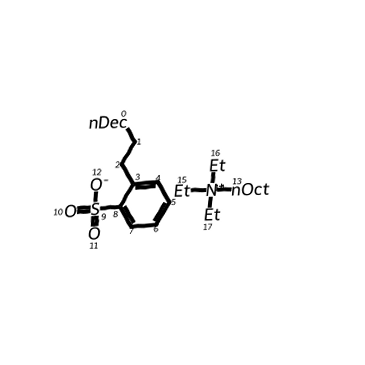 CCCCCCCCCCCCc1ccccc1S(=O)(=O)[O-].CCCCCCCC[N+](CC)(CC)CC